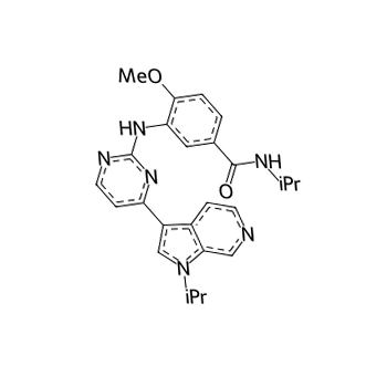 COc1ccc(C(=O)NC(C)C)cc1Nc1nccc(-c2cn(C(C)C)c3cnccc23)n1